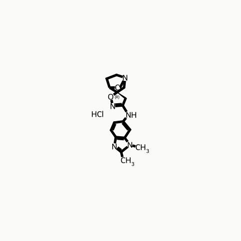 Cc1nc2ccc(NC3=NO[C@@]4(C3)CN3CCC4CC3)cc2n1C.Cl